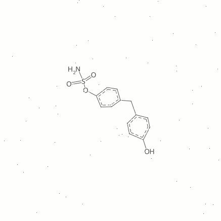 NS(=O)(=O)Oc1ccc(Cc2ccc(O)cc2)cc1